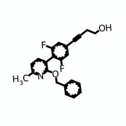 Cc1ccc(-c2c(F)cc(C#CCCO)cc2F)c(OCc2ccccc2)n1